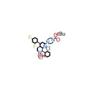 CC(C)(C)OC(=O)N1CCN(c2cc(-c3ccc(F)cc3F)c3c(n2)C(c2c(Cl)cccc2Cl)N(O)C=C3)CC1